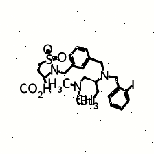 CN(C)C[C@H](CC(C)(C)C)N(Cc1cccc(CN2C(C(=O)O)CCS2(=O)=O)c1)Cc1ccccc1I